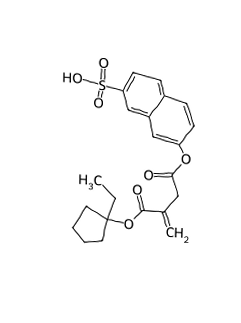 C=C(CC(=O)Oc1ccc2ccc(S(=O)(=O)O)cc2c1)C(=O)OC1(CC)CCCC1